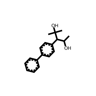 CC(O)C(c1ccc(-c2ccccc2)cc1)C(C)(C)O